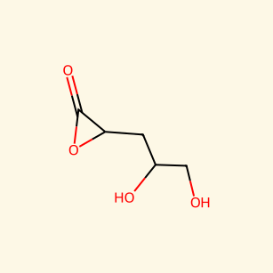 O=C1OC1CC(O)CO